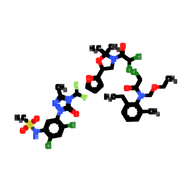 CC1(C)OC(c2ccco2)CN1C(=O)C(Cl)Cl.CCOCN(C(=O)CCl)c1c(C)cccc1CC.Cc1nn(-c2cc(NS(C)(=O)=O)c(Cl)cc2Cl)c(=O)n1C(F)F